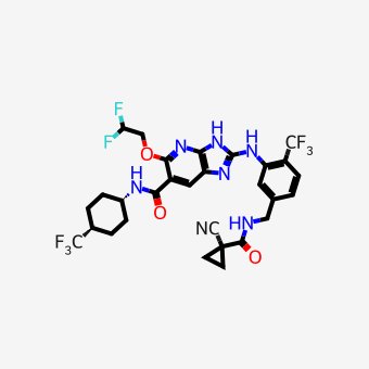 N#CC1(C(=O)NCc2ccc(C(F)(F)F)c(Nc3nc4cc(C(=O)N[C@H]5CC[C@H](C(F)(F)F)CC5)c(OCC(F)F)nc4[nH]3)c2)CC1